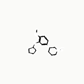 COc1ccc([C@@H]2CCC[S@+]([O-])C2)cc1OC1CCCC1